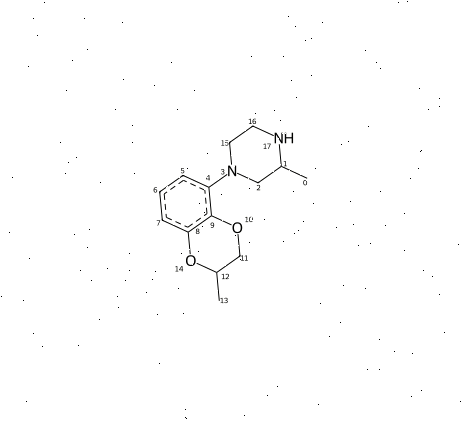 CC1CN(c2cccc3c2OCC(C)O3)CCN1